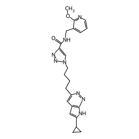 COc1ncccc1CNC(=O)c1cn(CCCCc2cc3cc(C4CC4)[nH]c3nn2)nn1